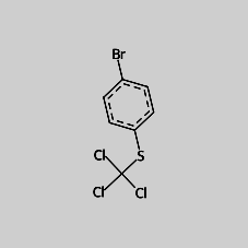 ClC(Cl)(Cl)Sc1ccc(Br)cc1